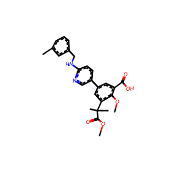 COC(=O)C(C)(C)c1cc(-c2ccc(NCc3cccc(C)c3)nc2)cc(C(=O)O)c1OC